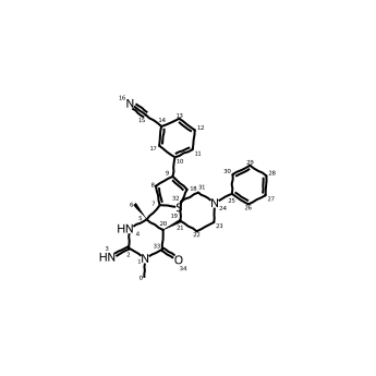 CN1C(=N)N[C@](C)(c2cc(-c3cccc(C#N)c3)cs2)[C@@H](C2CCN(c3ccccc3)CC2)C1=O